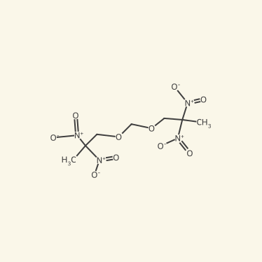 CC(COCOCC(C)([N+](=O)[O-])[N+](=O)[O-])([N+](=O)[O-])[N+](=O)[O-]